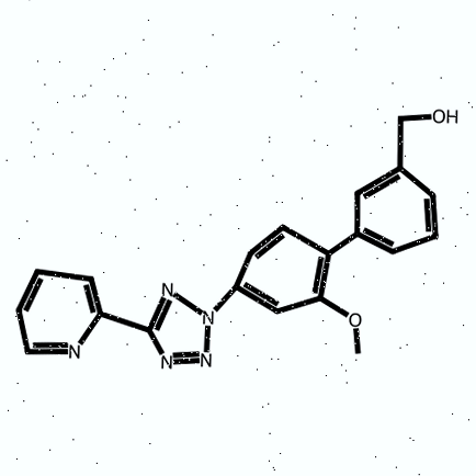 COc1cc(-n2nnc(-c3ccccn3)n2)ccc1-c1cccc(CO)c1